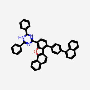 c1ccc(C2=NC(c3ccc(-c4ccc(-c5cccc6ccccc56)cc4)c4c3oc3c5ccccc5ccc34)=NC(c3ccccc3)N2)cc1